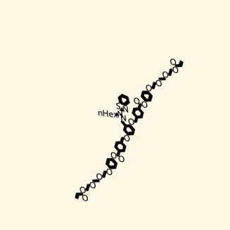 C=CC(=O)OCCOCCOCCOc1ccc(OC(=O)C2CCC(COC3=CC=C(OCC4CCC(C(=O)Oc5ccc(OCCOCCOCCOC(=O)C=C)cc5)CC4)C(/C=N/N(CCCCCC)c4nc5ccccc5s4)C3)CC2)cc1